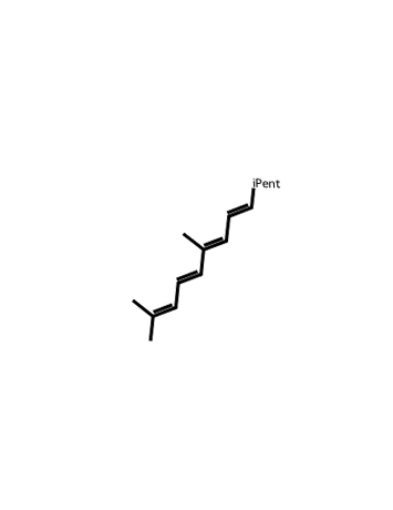 [CH2]CCC(C)/C=C/C=C(C)/C=C/C=C(C)C